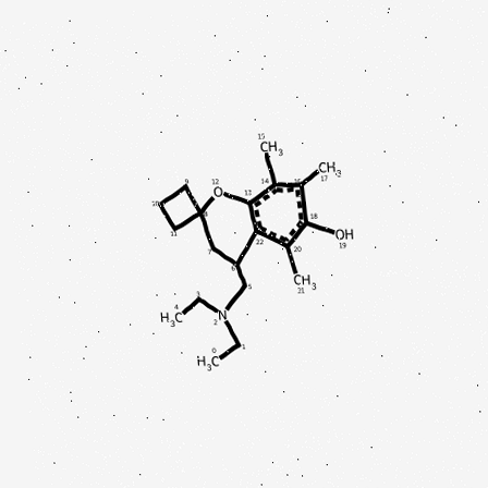 CCN(CC)CC1CC2(CCC2)Oc2c(C)c(C)c(O)c(C)c21